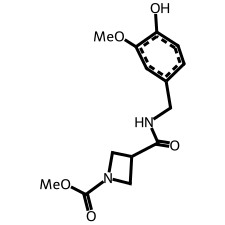 COC(=O)N1CC(C(=O)NCc2ccc(O)c(OC)c2)C1